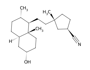 C[C@H]1CC[C@@H]2C[C@@H](O)CC[C@@]2(C)[C@@H]1CC[C@]1(C)CC[C@@H](C#N)C1